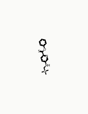 C[Si](C)(C)CNc1ccc(C(=S)Oc2ccccc2)nc1